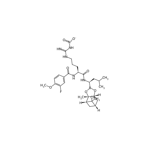 COc1ccc(C(=O)N[C@@H](CCCNC(=N)N[N+](=O)[O-])C(=O)N[C@@H](CC(C)C)B2O[C@@H]3C[C@@H]4C[C@@H](C4(C)C)[C@]3(C)O2)cc1F